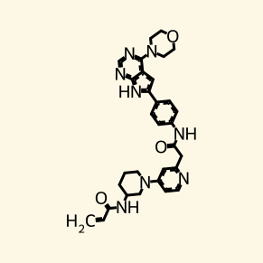 C=CC(=O)NC1CCCN(c2ccnc(CC(=O)Nc3ccc(-c4cc5c(N6CCOCC6)ncnc5[nH]4)cc3)c2)C1